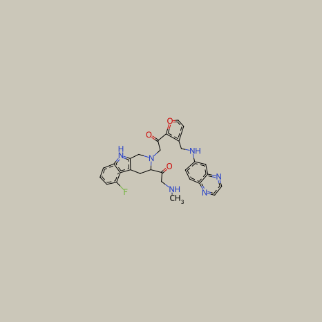 CNCC(=O)C1Cc2c([nH]c3cccc(F)c23)CN1CC(=O)c1occc1CNc1ccc2nccnc2c1